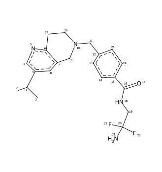 CC(C)c1cnc2c(c1)CN(Cc1ccc(C(=O)NCC(N)(F)F)cc1)CC2